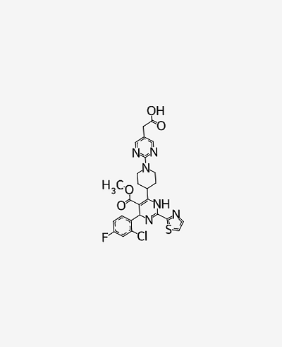 COC(=O)C1=C(C2CCN(c3ncc(CC(=O)O)cn3)CC2)NC(c2nccs2)=NC1c1ccc(F)cc1Cl